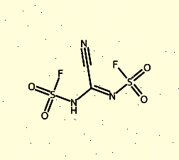 N#C/C(=N\S(=O)(=O)F)NS(=O)(=O)F